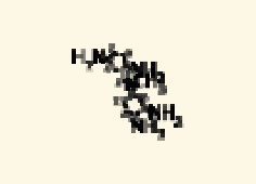 CN(Cc1cc(N)ccc1N)c1ccc(N)c(N)c1